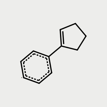 [c]1ccc(C2=CCCC2)cc1